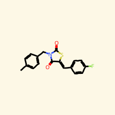 Cc1ccc(CN2C(=O)S/C(=C\c3ccc(F)cc3)C2=O)cc1